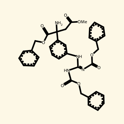 COC(=O)CC(N)(C(=O)OCc1ccccc1)c1cccc(NC(=NC(=O)OCc2ccccc2)NC(=O)OCc2ccccc2)c1